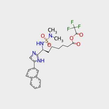 CN(C)S(=O)(=O)N[C@@H](CCCCCC(=O)OC(=O)C(F)(F)F)c1ncc(-c2ccc3ccccc3c2)[nH]1